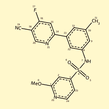 COc1cc(S(=O)(=O)Nc2cc(C)cc(-c3cc(F)c(C#N)cn3)c2)ccn1